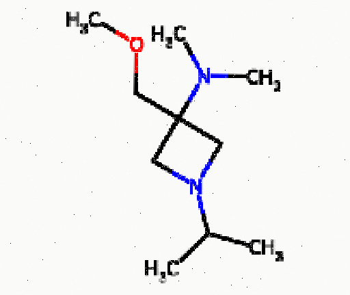 COCC1(N(C)C)CN(C(C)C)C1